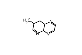 CC1C=NC2N=CC=NC2C1